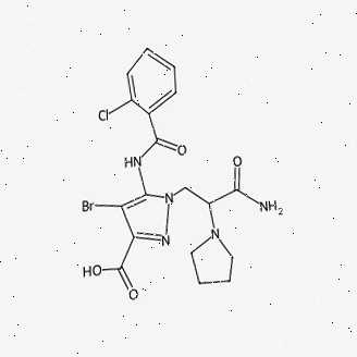 NC(=O)C(Cn1nc(C(=O)O)c(Br)c1NC(=O)c1ccccc1Cl)N1CCCC1